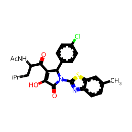 CC(=O)NC(CC(C)C)C(=O)C1=C(O)C(=O)N(c2nc3ccc(C)cc3s2)C1c1ccc(Cl)cc1